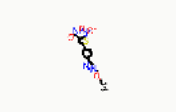 C[Si](C)(C)CCOCn1cc(-c2ccc(-c3cc(C(N)=O)c([N+](=O)[O-])s3)cc2)nn1